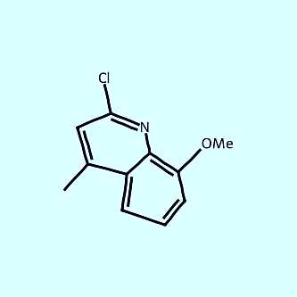 COc1cccc2c(C)cc(Cl)nc12